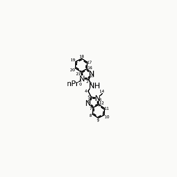 CCCn1c(NCc2nc3ccccc3n2C)nc2ccccc21